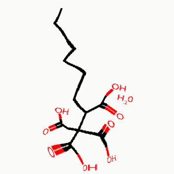 CCCCCCC(C(=O)O)C(C(=O)O)(C(=O)O)C(=O)O.O